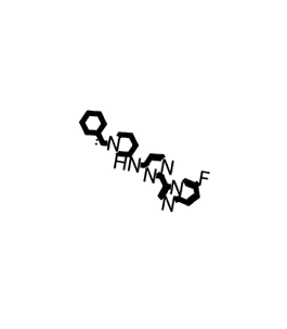 Fc1ccc2ncc(-c3nccc(N[C@@H]4CCCN([C]C5CCCCC5)C4)n3)n2c1